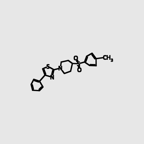 Cc1ccc(S(=O)(=O)C2CCN(c3nc(-c4ccccc4)cs3)CC2)cc1